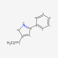 C=CC1=CC(c2ccccc2)=NC1